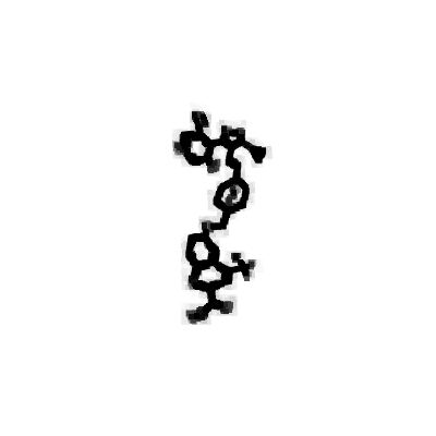 O=C(O)c1cc(C(F)(F)F)c2cc(OCC34CCC(/C=C/c5c(-c6c(Cl)cncc6Cl)noc5C5CC5)(CC3)CC4)ccc2n1